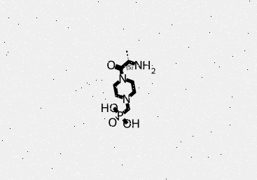 C[C@H](N)C(=O)N1CCN(CP(=O)(O)O)CC1